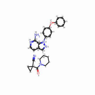 N#CC1(C(=O)N2CCC[C@@H](c3nn(-c4ccc(Oc5ccccc5)cc4)c4c(N)nccc34)C2)CC1